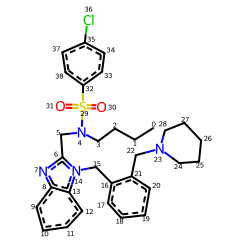 CCCCN(Cc1nc2ccccc2n1Cc1ccccc1CN1CCCCC1)S(=O)(=O)c1ccc(Cl)cc1